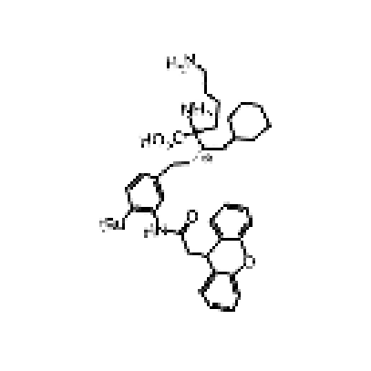 CC(C)(C)c1ccc(CC[C@@H](CC2CCCCC2)[C@](N)(CCCCN)C(=O)O)cc1NC(=O)CC1c2ccccc2Oc2ccccc21